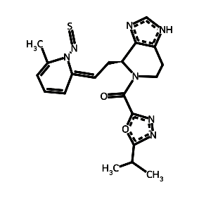 CC1=CC=C/C(=C/C[C@H]2c3nc[nH]c3CCN2C(=O)c2nnc(C(C)C)o2)N1N=S